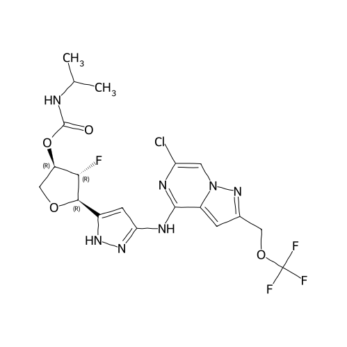 CC(C)NC(=O)O[C@@H]1CO[C@H](c2cc(Nc3nc(Cl)cn4nc(COC(F)(F)F)cc34)n[nH]2)[C@H]1F